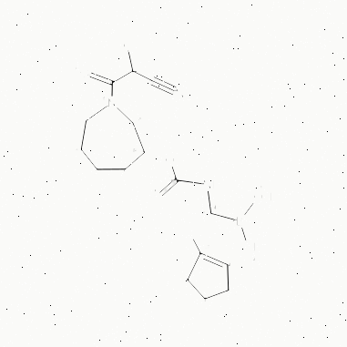 CC(C#N)C(=O)N1CCCC[C@@H](OC(=O)N[C@@H](CC2=CCCC2)B(O)O)C1